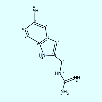 N=C(N)NCc1cc2cc(S)ccc2[nH]1